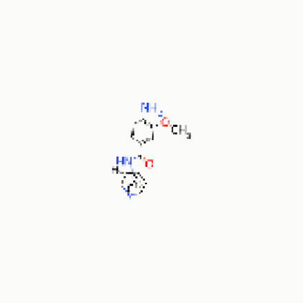 COc1cc(C(=O)N[C@@H]2CN3CCC2CC3)ccc1N